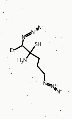 CCC(N=[N+]=[N-])C(N)(S)CCCN=[N+]=[N-]